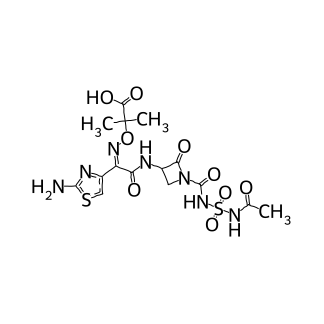 CC(=O)NS(=O)(=O)NC(=O)N1CC(NC(=O)C(=NOC(C)(C)C(=O)O)c2csc(N)n2)C1=O